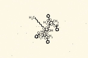 C=CCCCCCCCCOC1OC(COC2OC(COC(=O)c3ccccc3)C(C)C(OC(=O)c3ccccc3)C2C)C(O)C(OC2OC(COC(=O)c3ccccc3)C(C)C(OC(=O)c3ccccc3)C2C)C1O